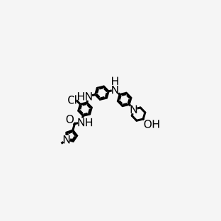 Cn1ccc(C(=O)Nc2ccc(Nc3ccc(Nc4ccc(N5CCC(O)CC5)cc4)cc3)c(Cl)c2)c1